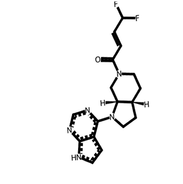 O=C(C=CC(F)F)N1CC[C@@H]2CCN(c3ncnc4[nH]ccc34)[C@@H]2C1